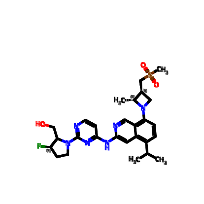 CC(C)c1ccc(N2C[C@H](CS(C)(=O)=O)[C@H]2C)c2cnc(Nc3ccnc(N4CC[C@@H](F)C4CO)n3)cc12